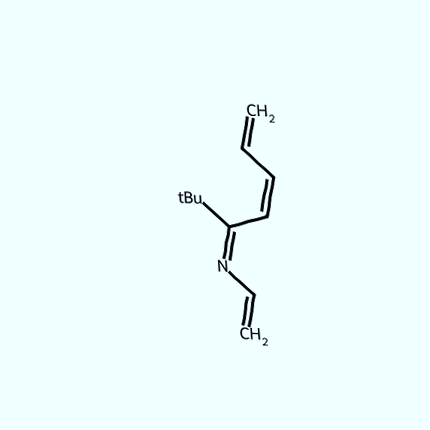 C=C/C=C\C(=N/C=C)C(C)(C)C